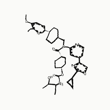 COc1ccc([C@H]2CC[C@H](CN(c3cc(-c4coc(C5CC5)n4)ccn3)C(=O)[C@H]3CC[C@H](OC(=O)NC(C)C(C)O)CC3)CC2)nc1C